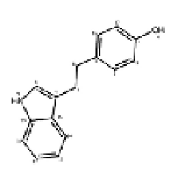 Oc1ccc(CCc2c[nH]c3ccccc23)cc1